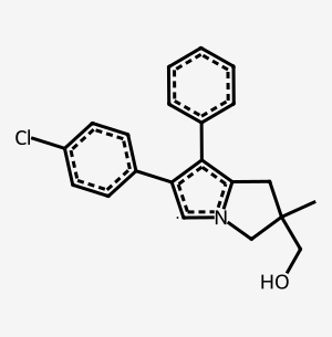 CC1(CO)Cc2c(-c3ccccc3)c(-c3ccc(Cl)cc3)[c]n2C1